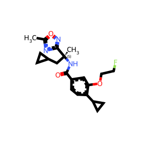 Cc1nc([C@](C)(CC2CC2)NC(=O)c2ccc(C3CC3)c(OCCF)c2)no1